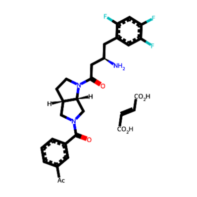 CC(=O)c1cccc(C(=O)N2C[C@@H]3CCN(C(=O)C[C@H](N)Cc4cc(F)c(F)cc4F)[C@@H]3C2)c1.O=C(O)/C=C/C(=O)O